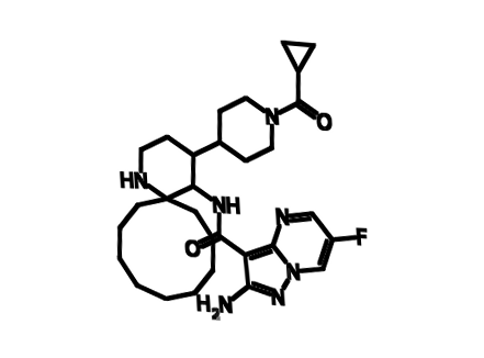 Nc1nn2cc(F)cnc2c1C(=O)NC1C(C2CCN(C(=O)C3CC3)CC2)CCNC12CCCCCCCCC2